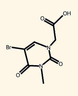 Cn1c(=O)c(Br)cn(CC(=O)O)c1=O